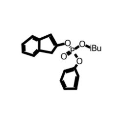 CCC(C)OP(=O)(OC1=Cc2ccccc2C1)Oc1ccccc1